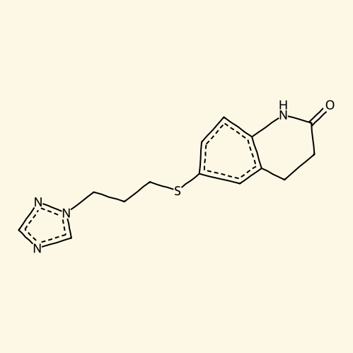 O=C1CCc2cc(SCCCn3cncn3)ccc2N1